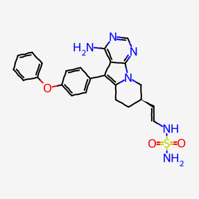 Nc1ncnc2c1c(-c1ccc(Oc3ccccc3)cc1)c1n2C[C@@H](C=CNS(N)(=O)=O)CC1